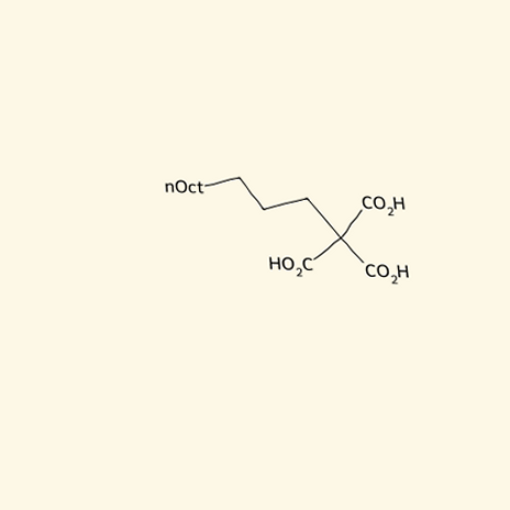 CCCCCCCCCCCC(C(=O)O)(C(=O)O)C(=O)O